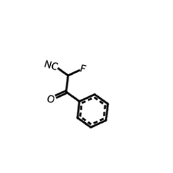 N#CC(F)C(=O)c1ccccc1